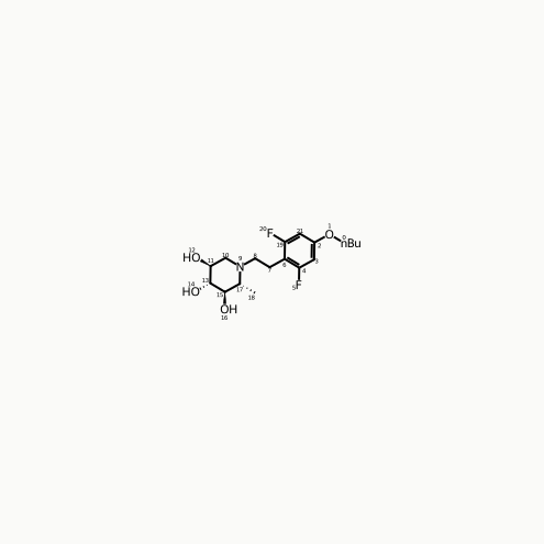 CCCCOc1cc(F)c(CCN2C[C@H](O)[C@@H](O)[C@H](O)[C@H]2C)c(F)c1